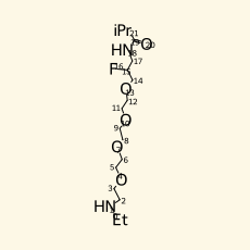 CCNCCOCCOCCOCCOCC(F)CNC(=O)C(C)C